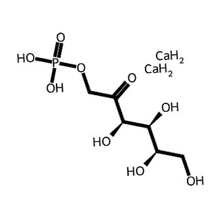 O=C(COP(=O)(O)O)[C@H](O)[C@@H](O)[C@H](O)CO.[CaH2].[CaH2]